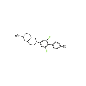 CCCC1CCC2CC(c3cc(F)c(-c4ccc(CC)cc4)c(F)c3)CCC2C1